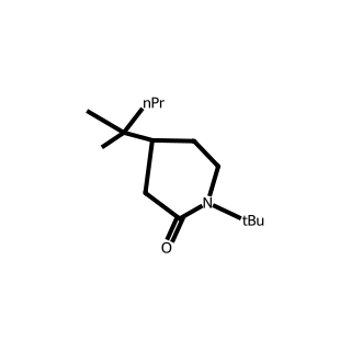 CCCC(C)(C)C1CCN(C(C)(C)C)C(=O)C1